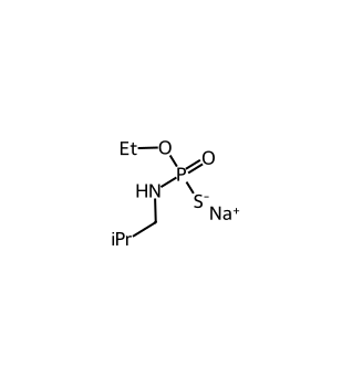 CCOP(=O)([S-])NCC(C)C.[Na+]